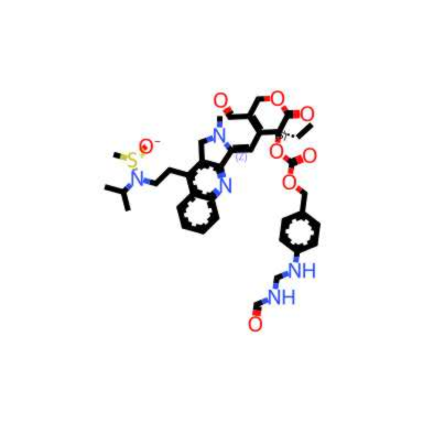 CC[C@@]1(OC(=O)OCc2ccc(NCNC=O)cc2)C(=O)OCC(C=O)=C1/C=C1/c2nc3ccccc3c(CCN(C(C)C)[S+](C)[O-])c2CN1C